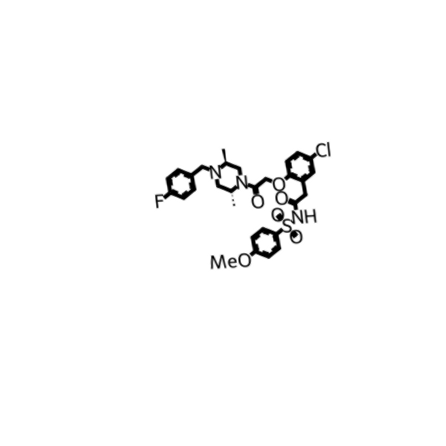 COc1ccc(S(=O)(=O)NC(=O)Cc2cc(Cl)ccc2OCC(=O)N2C[C@H](C)N(Cc3ccc(F)cc3)C[C@H]2C)cc1